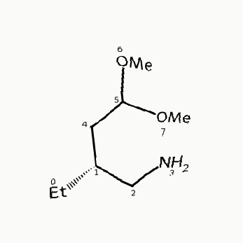 CC[C@@H](CN)CC(OC)OC